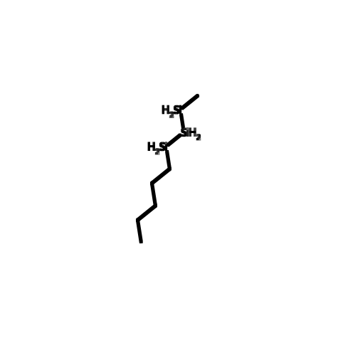 CCCCC[SiH2][SiH2][SiH2]C